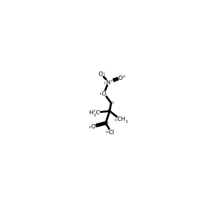 CC(C)(CO[N+](=O)[O-])C(=O)Cl